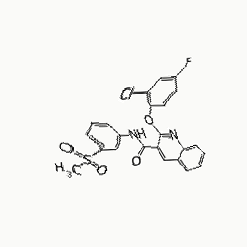 CS(=O)(=O)c1cccc(NC(=O)c2cc3ccccc3nc2Oc2ccc(F)cc2Cl)c1